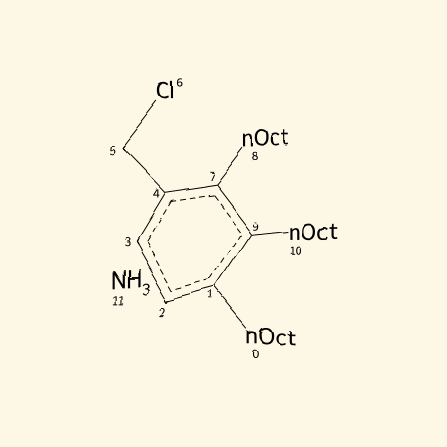 CCCCCCCCc1ccc(CCl)c(CCCCCCCC)c1CCCCCCCC.N